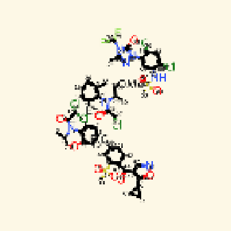 CC1COc2ccccc2N1C(=O)C(Cl)Cl.CCc1cccc(C)c1N(C(=O)CCl)C(C)COC.CS(=O)(=O)c1cc(C(F)(F)F)ccc1C(=O)c1cnoc1C1CC1.Cc1nn(-c2cc(NS(C)(=O)=O)c(Cl)cc2Cl)c(=O)n1C(F)F